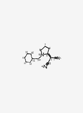 N#CC(C#N)=C1CCCN1CC1CCCCC1